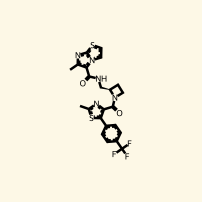 Cc1nc(C(=O)N2CC[C@@H]2CNC(=O)c2c(C)nc3sccn23)c(-c2ccc(C(F)(F)F)cc2)s1